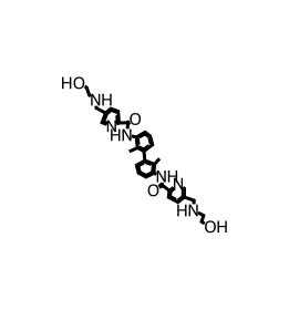 Cc1c(NC(=O)c2ccc(CNCCO)cn2)cccc1-c1cccc(NC(=O)c2ccc(CNCCO)cn2)c1C